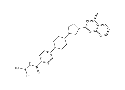 C[S+]([O-])NC(=O)c1ccc(N2CCC(N3CCC(c4cc5ccccc5c(=O)[nH]4)C3)CC2)cn1